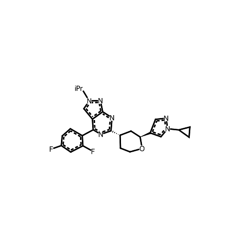 CC(C)n1cc2c(-c3ccc(F)cc3F)nc([C@H]3CCO[C@H](c4cnn(C5CC5)c4)C3)nc2n1